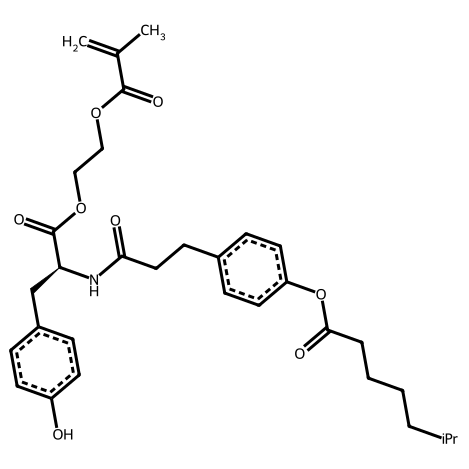 C=C(C)C(=O)OCCOC(=O)[C@H](Cc1ccc(O)cc1)NC(=O)CCc1ccc(OC(=O)CCCCC(C)C)cc1